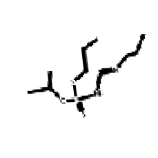 CCCN=CNP(=S)(OC(C)C)SCCC